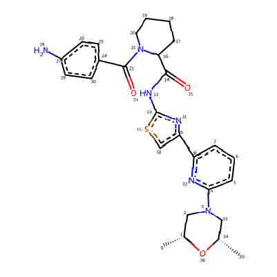 C[C@@H]1CN(c2cccc(-c3csc(NC(=O)C4CCCCN4C(=O)c4ccc(N)cc4)n3)n2)C[C@H](C)O1